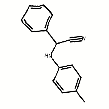 Cc1ccc(NC(C#N)c2ccccc2)cc1